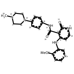 COc1ccncc1Nc1cc[nH]c(=O)c1C(=O)Nc1ccc(N2CCN(C)CC2)cc1